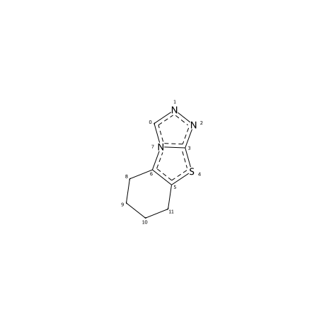 c1nnc2sc3c(n12)CCCC3